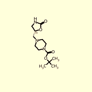 CC(C)(C)OC(=O)N1CCN(C[C@@H]2CNC(=O)O2)CC1